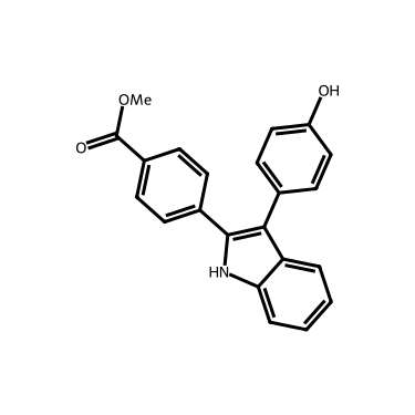 COC(=O)c1ccc(-c2[nH]c3ccccc3c2-c2ccc(O)cc2)cc1